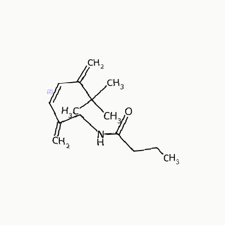 C=C(/C=C\C(=C)C(C)(C)C)CNC(=O)CCC